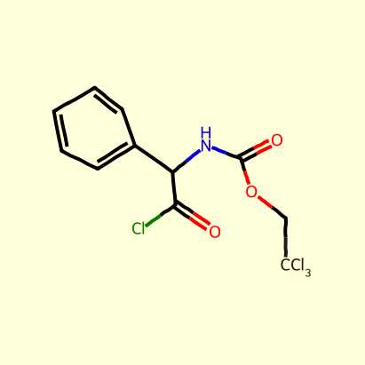 O=C(NC(C(=O)Cl)c1ccccc1)OCC(Cl)(Cl)Cl